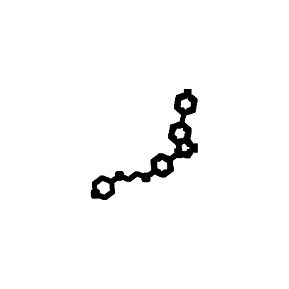 c1cc(-c2ccc3c(c2)ncn3-c2ccc(OCCOC3CCOCC3)cc2)ccn1